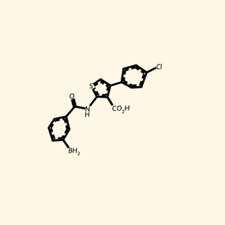 Bc1cccc(C(=O)Nc2scc(-c3ccc(Cl)cc3)c2C(=O)O)c1